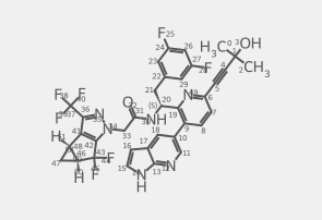 CC(C)(O)C#Cc1ccc(-c2cnc3[nH]ccc3c2)c([C@H](Cc2cc(F)cc(F)c2)NC(=O)Cn2nc(C(F)(F)F)c3c2C(F)(F)[C@@H]2C[C@H]32)n1